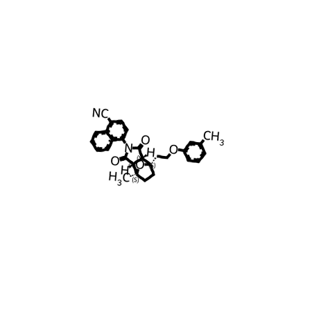 Cc1cccc(OCC[C@]23CC[C@](C)(O2)[C@@H]2C(=O)N(c4ccc(C#N)c5ccccc45)C(=O)[C@@H]23)c1